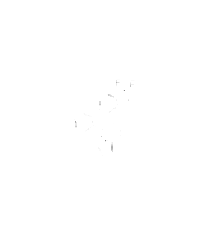 FC(F)(F)c1ccc(-c2ccccc2C2CCCc3cccn32)cc1